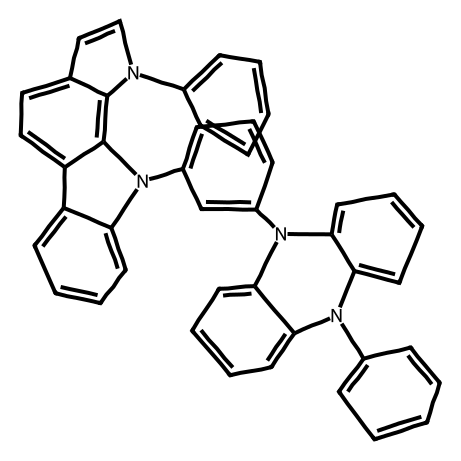 c1ccc(N2c3ccccc3N(c3cccc(-n4c5ccccc5c5ccc6ccn(-c7ccccc7)c6c54)c3)c3ccccc32)cc1